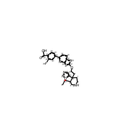 CC(C)C1CNCCC1(CCOc1nc2ccc(-c3ccc(C(=O)O)c(F)c3)nc2s1)c1cnno1